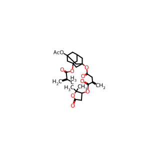 C=C(C)C(=O)OC12CC3CC(OC(C)=O)(CC(OC(=O)CC(=C)C(=O)OC4CC(=O)OC4(C)C)(C3)C1)C2